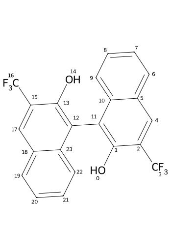 Oc1c(C(F)(F)F)cc2ccccc2c1-c1c(O)c(C(F)(F)F)cc2ccccc12